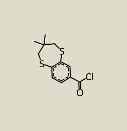 CC1(C)CSc2ccc(C(=O)Cl)cc2SC1